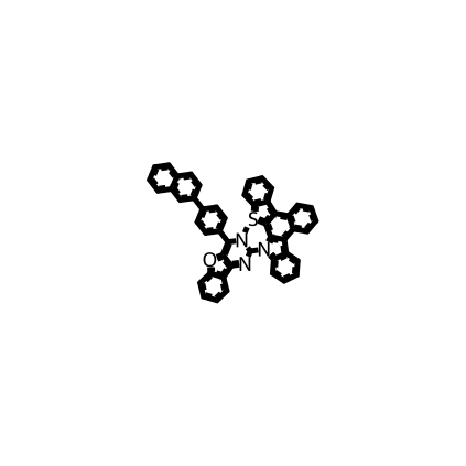 CN1C(c2ccc(-c3ccc4ccccc4c3)cc2)=c2oc3ccccc3c2=NC1n1c2ccccc2c2c3ccccc3c3c4ccccc4sc3c21